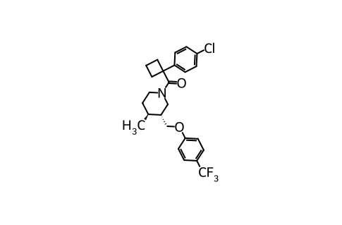 C[C@H]1CCN(C(=O)C2(c3ccc(Cl)cc3)CCC2)C[C@@H]1COc1ccc(C(F)(F)F)cc1